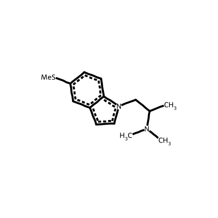 CSc1ccc2c(ccn2CC(C)N(C)C)c1